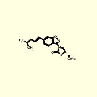 COC[C@H]1CN(c2noc3cc(/C=C/C[C@@H](O)C(F)(F)F)ccc23)C(=O)O1